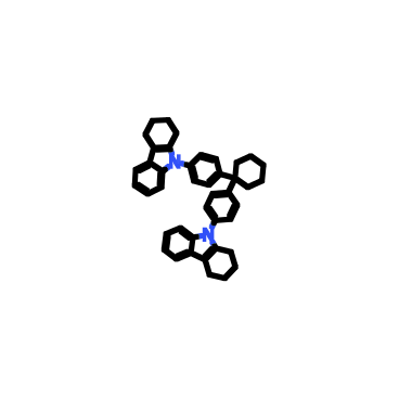 c1ccc2c(c1)c1c(n2-c2ccc(C3(c4ccc(-n5c6c(c7ccccc75)CCCC6)cc4)CCCCC3)cc2)CCCC1